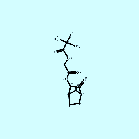 CC(C)(F)C(=O)OCC(=O)OC1C(=O)C2CCC1C2